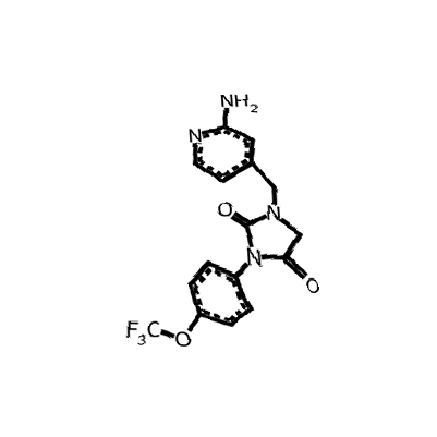 Nc1cc(CN2CC(=O)N(c3ccc(OC(F)(F)F)cc3)C2=O)ccn1